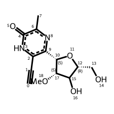 C#Cc1[nH]c(=O)c(C)nc1[C@@H]1O[C@H](CO)C(O)[C@@H]1OC